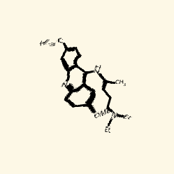 CCN(CC)CCCC(C)Nc1c2ccc(C)cc2nc2ccc(OC)cc12